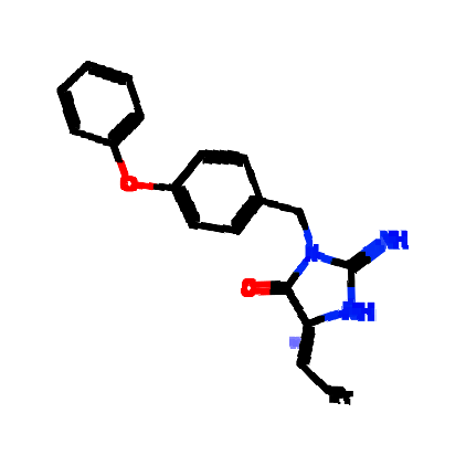 CC(C)/C=C1\NC(=N)N(Cc2ccc(Oc3ccccc3)cc2)C1=O